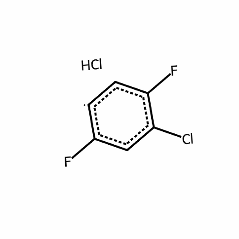 Cl.Fc1[c]cc(F)c(Cl)c1